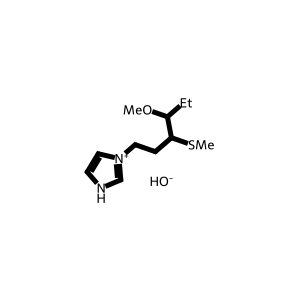 CCC(OC)C(CC[n+]1cc[nH]c1)SC.[OH-]